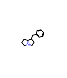 c1ccc(CC2CCN3CCCC23)cc1